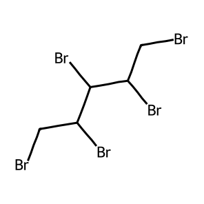 BrCC(Br)C(Br)C(Br)CBr